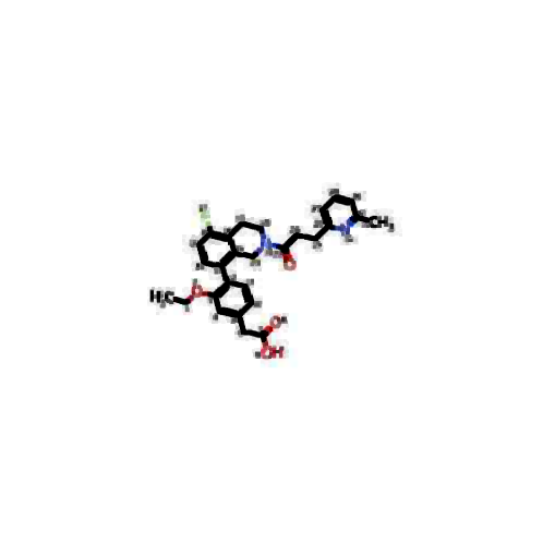 CCOc1cc(CC(=O)O)ccc1-c1ccc(F)c2c1CN(C(=O)CCc1cccc(C)n1)CC2